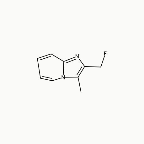 Cc1c(CF)nc2ccccn12